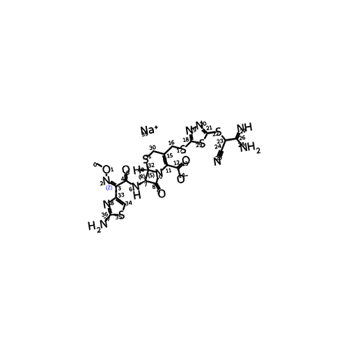 CO/N=C(\C(=O)N[C@@H]1C(=O)N2C(C(=O)[O-])=C(CSc3nnc(SC(C#N)C(=N)N)s3)CS[C@@H]12)c1csc(N)n1.[Na+]